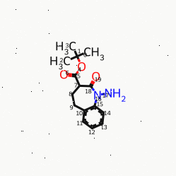 CC(C)(C)OC(=O)C1CCc2ccccc2N(N)C1=O